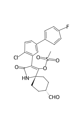 CS(=O)(=O)OC1=C(c2cc(-c3ccc(F)cc3)ccc2Cl)C(=O)N[C@]12CC[C@@H](C=O)CC2